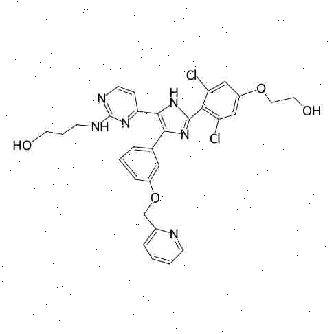 OCCCNc1nccc(-c2[nH]c(-c3c(Cl)cc(OCCO)cc3Cl)nc2-c2cccc(OCc3ccccn3)c2)n1